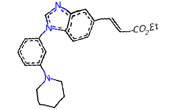 CCOC(=O)/C=C/c1ccc2c(c1)ncn2-c1cccc(N2CCCCC2)c1